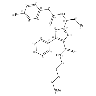 CNCCCCNC(=O)c1nc([C@H](CC(C)C)NC(=O)Cc2ccc(F)cc2)oc1-c1ccccc1